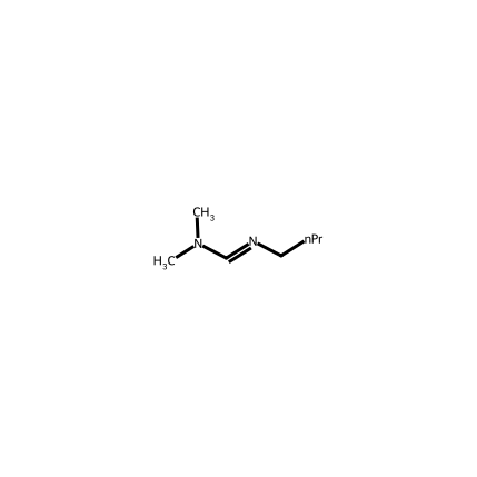 CCCCN=CN(C)C